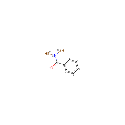 O=C(c1ccccc1)N(S)S